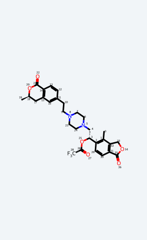 Cc1c([C@@H](CN2CCN(CCc3ccc4c(c3)C[C@@H](C)OC4=O)CC2)OC(=O)C(F)(F)F)ccc2c1COC2=O